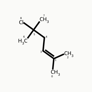 CC(C)=CCC(C)(C)Cl